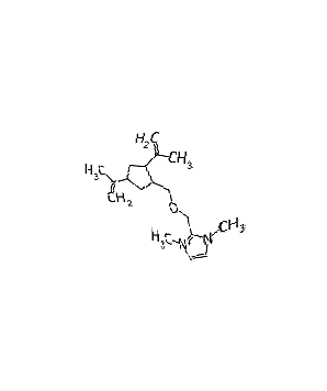 C=C(C)C1CC(COCc2n(C)cc[n+]2C)C(C(=C)C)C1